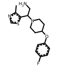 Cc1ncsc1C(CN)N1CCC(Oc2ccc(F)cc2)CC1